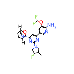 CC1CN(c2nc(-c3cnc(N)c(OC(F)F)c3)cc(N3C[C@@H]4CC[C@H]3CO4)n2)CC1F